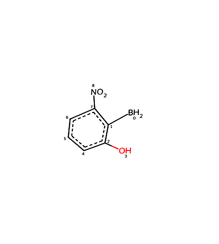 Bc1c(O)cccc1[N+](=O)[O-]